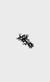 CCN(C(=S)c1cnn(C(C)C(C)SC)c1C(F)(F)F)c1ccnnc1